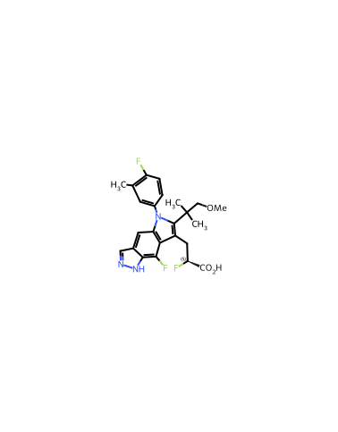 COCC(C)(C)c1c(C[C@H](F)C(=O)O)c2c(F)c3[nH]ncc3cc2n1-c1ccc(F)c(C)c1